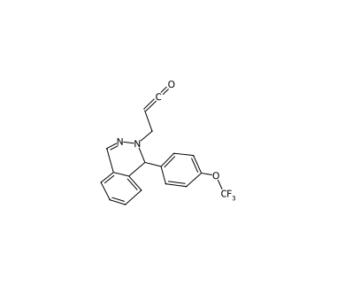 O=C=CCN1N=Cc2ccccc2C1c1ccc(OC(F)(F)F)cc1